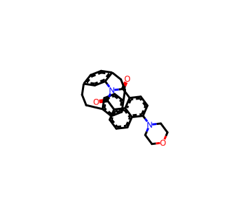 O=C1c2cccc3c(N4CCOCC4)ccc(c23)C(=O)N1c1cc2ccc1CCc1ccc(cc1)CC2